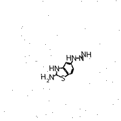 N=NNc1ccc2c(c1)NC(N)S2